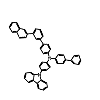 c1ccc(-c2ccc(N(c3ccc(-c4cccc(-c5ccc6ccccc6c5)c4)cc3)c3ccc(-n4c5ccccc5c5ccccc54)cc3)cc2)cc1